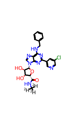 [2H]C([2H])([2H])NC(=O)[C@H]1O[C@@H](n2cnc3c(NCc4ccccc4)nc(-c4cncc(Cl)c4)nc32)[C@H](O)[C@@H]1O